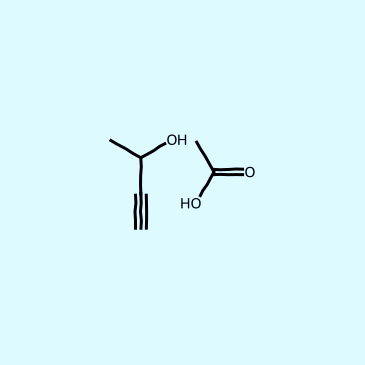 C#CC(C)O.CC(=O)O